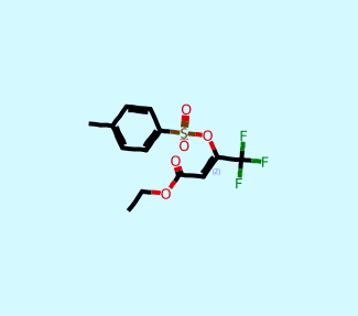 CCOC(=O)/C=C(\OS(=O)(=O)c1ccc(C)cc1)C(F)(F)F